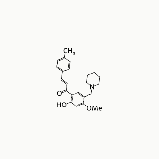 COc1cc(O)c(C(=O)/C=C/c2ccc(C)cc2)cc1CN1CCCCC1